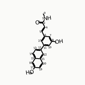 CNC(=O)C=Cc1cc(O)cc(-c2ccc3cc(O)ccc3c2)c1